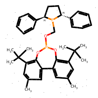 Cc1cc(C(C)(C)C)c2op(OCP3[C@@H](c4ccccc4)CC[C@@H]3c3ccccc3)oc3c(C(C)(C)C)cc(C)cc3c2c1